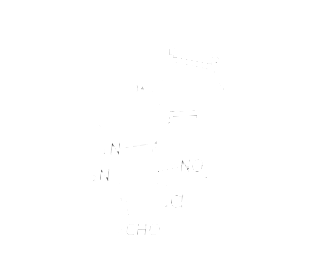 CN1N=C(C=O)C(Cl)([N+](=O)[O-])C1c1ccccc1